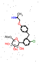 CO[C@H]1OC(c2ccc(Cl)c(Cc3ccc(OCC(C)=N)cc3)c2)[C@H](O)[C@@H](O)[C@@H]1O